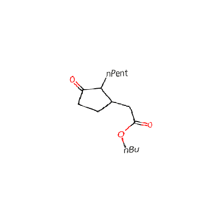 CCCCCC1C(=O)CCC1CC(=O)OCCCC